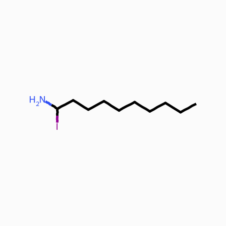 CCCCCCCCCC(N)I